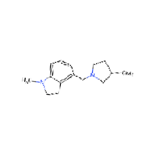 COC1CCN(Cc2cccc3c2CCN3C)C1